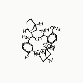 COc1ccc2nc(N3[C@@H]4CC(O)C[C@H]3C4)sc2c1C(=O)N[C@@H]1[C@H]2CC[C@H](C2)[C@@H]1C(=O)Nc1ccc(F)c(C(F)(F)F)c1